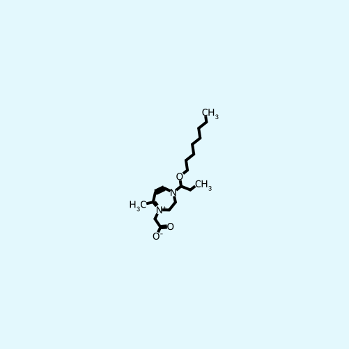 CCCCCCCCOC(CC)N1C#CC(C)=[N+](CC(=O)[O-])CC1